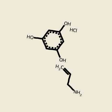 C=CCN.Cl.Oc1cc(O)cc(O)c1